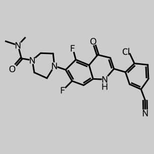 CN(C)C(=O)N1CCN(c2c(F)cc3[nH]c(-c4cc(C#N)ccc4Cl)cc(=O)c3c2F)CC1